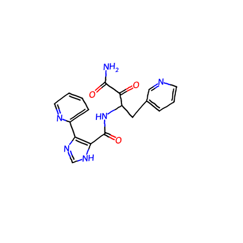 NC(=O)C(=O)C(Cc1cccnc1)NC(=O)c1[nH]cnc1-c1ccccn1